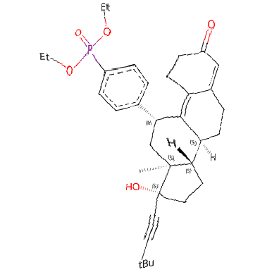 CCOP(=O)(OCC)c1ccc([C@H]2C[C@@]3(C)[C@@H](CC[C@@]3(O)C#CC(C)(C)C)[C@@H]3CCC4=CC(=O)CCC4=C32)cc1